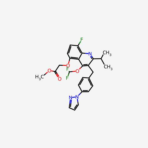 COC(=O)COc1ccc(F)c2nc(C(C)C)c(Cc3ccc(-n4cccn4)cc3)c(OC(F)F)c12